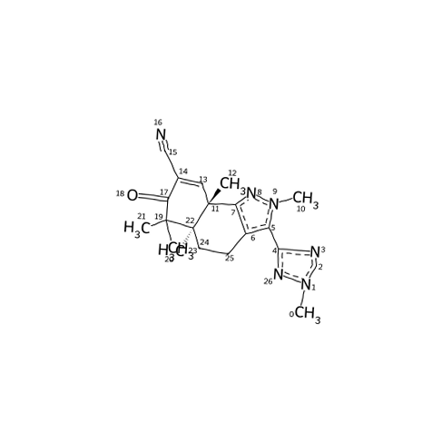 Cn1cnc(-c2c3c(nn2C)[C@@]2(C)C=C(C#N)C(=O)C(C)(C)[C@]2(C)CC3)n1